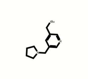 CC(C)(C)Cc1cncc(CN2CCCC2)c1